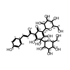 O=C(/C=C/c1ccc(O)cc1)C1=C(O)C(O)(C2OC(CO)C(O)C(O)C2O)C(O)=C(C2OC(CO)C(O)C(O)C2O)C1=O